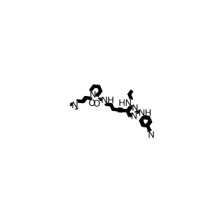 CCCNc1nc(Nc2ccc(C#N)cc2)ncc1C#CCCCNC(=O)[C@H]1CCCCN1C(=O)/C=C/CN(C)C